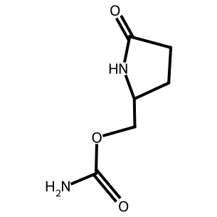 NC(=O)OCC1CCC(=O)N1